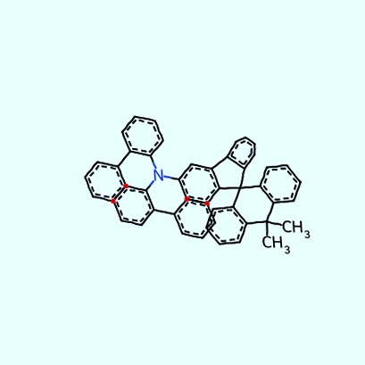 CC1(C)c2ccccc2C2(c3ccccc3-c3cc(N(c4ccccc4-c4ccccc4)c4ccccc4-c4ccccc4)ccc32)c2ccccc21